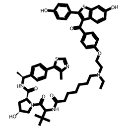 CCN(CCCCCCC(=O)NC(C(=O)N1C[C@H](O)C[C@H]1C(=O)N[C@@H](C)c1ccc(-c2scnc2C)cc1)C(C)(C)C)CCOc1ccc(C(=O)c2c(-c3ccc(O)cc3)sc3cc(O)ccc23)cc1